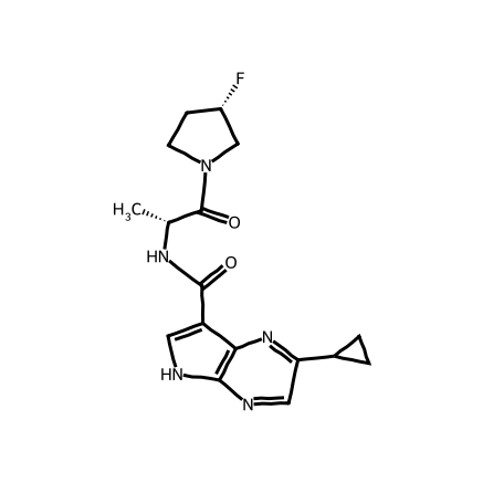 C[C@@H](NC(=O)c1c[nH]c2ncc(C3CC3)nc12)C(=O)N1CC[C@H](F)C1